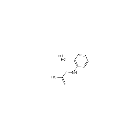 Cl.Cl.O=C(O)CNc1ccccc1